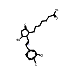 O=C(O)CCCCCCC1C(=O)CC(O)C1/C=C/c1ccc(Cl)c(Cl)c1